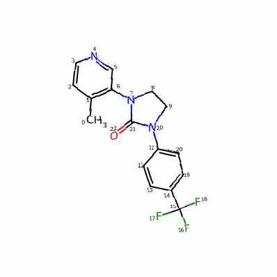 Cc1ccncc1N1CCN(c2ccc(C(F)(F)F)cc2)C1=O